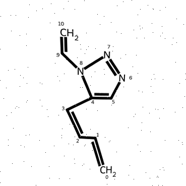 C=C/C=C\c1cnnn1C=C